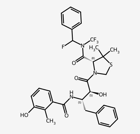 Cc1c(O)cccc1C(=O)N[C@@H](Cc1ccccc1)[C@H](O)C(=O)N1CSC(C)(C)[C@H]1C(=O)N(C(F)c1ccccc1)C(F)(F)F